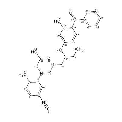 [C-]#[N+]c1ccc(C)c(N(CCCC(CC)Oc2ccc(C(=O)c3ccccc3)c(O)c2)CC(=O)O)c1